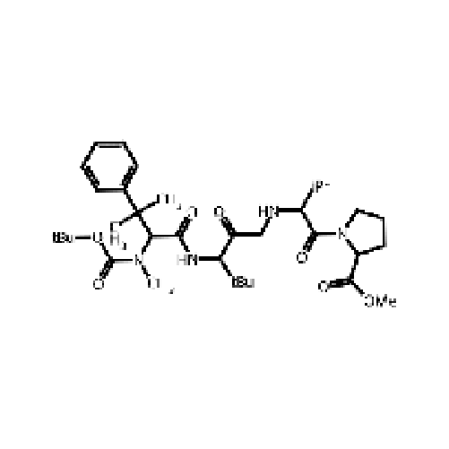 COC(=O)C1CCCN1C(=O)C(NCC(=O)C(NC(=O)C(N(C)C(=O)OC(C)(C)C)C(C)(C)c1ccccc1)C(C)(C)C)C(C)C